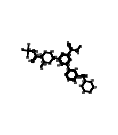 COC(=O)c1cc(-c2ccnc(NC3CCCCC3)c2)nc(N2CCN(C(=O)OC(C)(C)C)[C@H](C)C2)c1